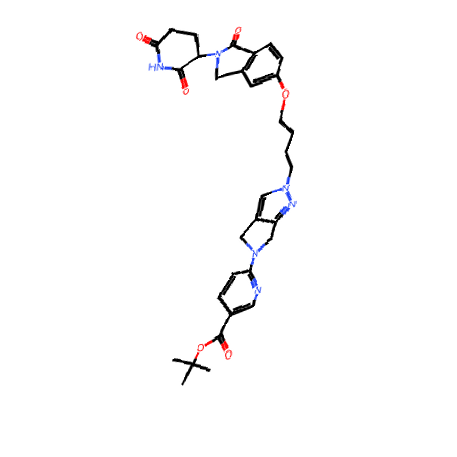 CC(C)(C)OC(=O)c1ccc(N2Cc3cn(CCCCOc4ccc5c(c4)CN(C4CCC(=O)NC4=O)C5=O)nc3C2)nc1